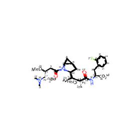 CC[C@H](C)[C@@H](C(CC(=O)N1C2CC2CC1C(OC)[C@@H](C)C(=O)N[C@@H](Cc1ccccc1F)C(=O)O)OC)N(C)C